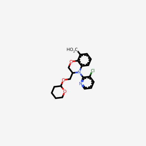 O=C(O)c1cccc2c1OCC(COC1CCCCO1)N2c1ncccc1Cl